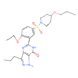 CCCOC1CCN(S(=O)(=O)c2ccc(OCC)c(-c3nc4c(CCC)nn(C)c4c(=O)[nH]3)c2)CC1